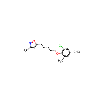 Cc1cc(CCCCCOc2c(C)cc(C=O)cc2Cl)on1